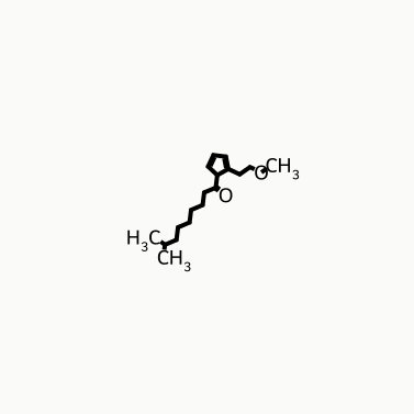 COCCC1=CC=CC1C(=O)CCCCCCC(C)C